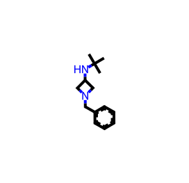 CC(C)(C)NC1CN(Cc2ccccc2)C1